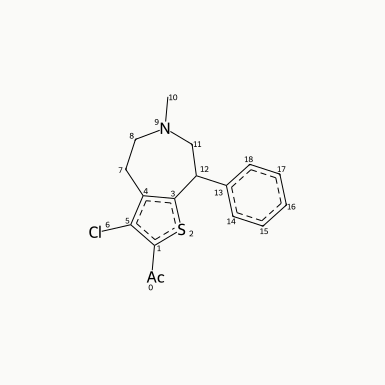 CC(=O)c1sc2c(c1Cl)CCN(C)CC2c1ccccc1